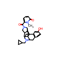 Cn1c(C(=O)N2CC3CC45CCC2C3C42CCN(CC3CC3)C5Cc3ccc(O)cc32)cccc1=O